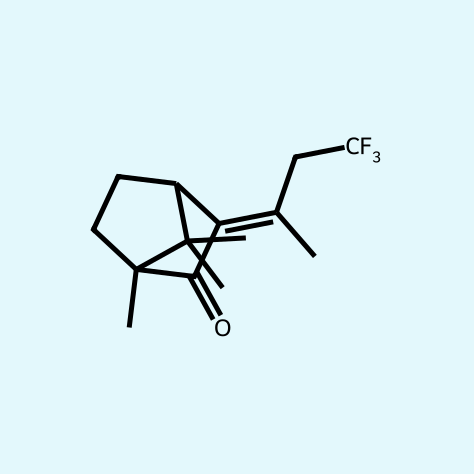 C/C(CC(F)(F)F)=C1\C(=O)C2(C)CCC1C2(C)C